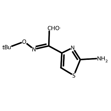 CC(C)(C)ON=C([C]=O)c1csc(N)n1